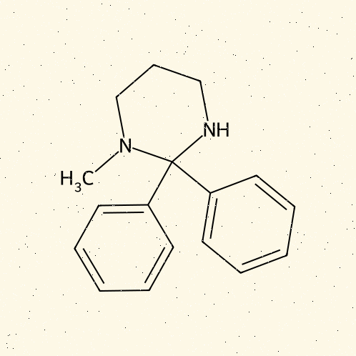 CN1CCCNC1(c1ccccc1)c1ccccc1